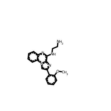 COc1ccccc1-c1cn2c(n1)c(NCCN)nc1ccccc12